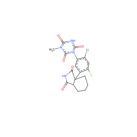 Cn1c(=O)[nH]c(=O)n(-c2cc(C34CCCCC3C(=O)NC4=O)c(F)cc2Cl)c1=O